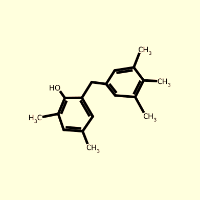 Cc1cc(C)c(O)c(Cc2cc(C)c(C)c(C)c2)c1